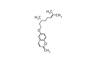 C=C1C=Cc2cc(OCC[C@H](C)CCC=C(C)C)ccc2O1